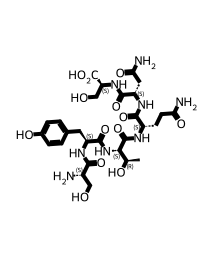 C[C@@H](O)[C@H](NC(=O)[C@H](Cc1ccc(O)cc1)NC(=O)[C@@H](N)CO)C(=O)N[C@@H](CCC(N)=O)C(=O)N[C@@H](CC(N)=O)C(=O)N[C@@H](CO)C(=O)O